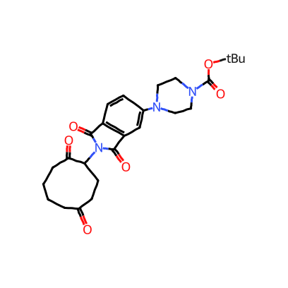 CC(C)(C)OC(=O)N1CCN(c2ccc3c(c2)C(=O)N(C2CCC(=O)CCCCC2=O)C3=O)CC1